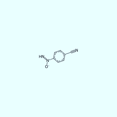 N#Cc1ccc([N+](=N)[O-])cc1